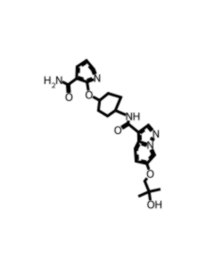 CC(C)(O)COc1ccc2c(C(=O)NC3CCC(Oc4ncccc4C(N)=O)CC3)cnn2c1